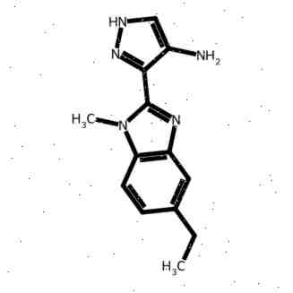 CCc1ccc2c(c1)nc(-c1n[nH]cc1N)n2C